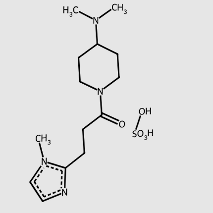 CN(C)C1CCN(C(=O)CCc2nccn2C)CC1.O=S(=O)(O)O